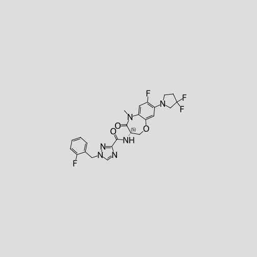 CN1C(=O)[C@@H](NC(=O)c2ncn(Cc3ccccc3F)n2)COc2cc(N3CCC(F)(F)C3)c(F)cc21